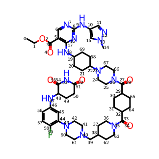 CCOC(=O)c1cnc(Nc2cnn(C)c2)nc1NC1CCC(N2CCN(C(=O)C3CCC(C(=O)N4CCC(CN5CCN(c6cc(NC7CCC(=O)NC7=O)ccc6F)CC5)CC4)CC3)CC2)CC1